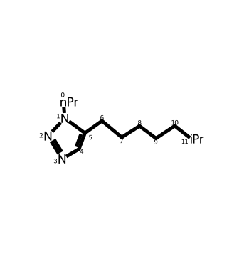 CCCn1nncc1CCCCCC(C)C